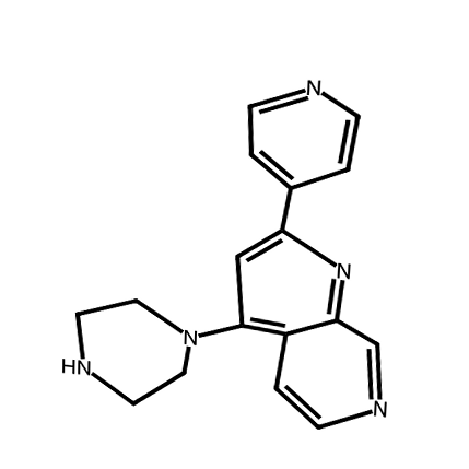 c1cc(-c2cc(N3CCNCC3)c3ccncc3n2)ccn1